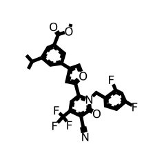 COC(=O)c1cc(-c2coc(-c3cc(C(F)(F)F)c(C#N)c(=O)n3Cc3ccc(F)cc3F)c2)cc(C(C)C)c1